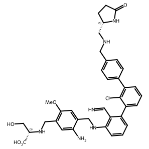 COc1cc(CNc2cccc(-c3cccc(-c4ccc(CNC[C@@H]5CCC(=O)N5)cc4)c3Cl)c2C=N)c(N)cc1CN[C@@H](CO)C(=O)O